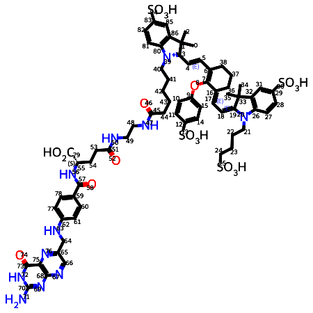 CC1(C)C(/C=C/C2=C(Oc3ccc(S(=O)(=O)O)cc3)C(=C/C=C3/N(CCCCS(=O)(=O)O)c4ccc(S(=O)(=O)O)cc4C3(C)C)/CCC2)=[N+](CCCCCC(=O)NCCNC(=O)CC[C@H](NC(=O)c2ccc(NCc3cnc4nc(N)[nH]c(=O)c4n3)cc2)C(=O)O)c2ccc(S(=O)(=O)O)cc21